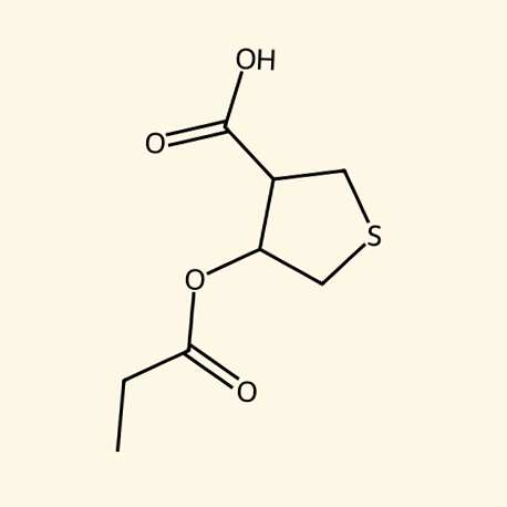 CCC(=O)OC1CSCC1C(=O)O